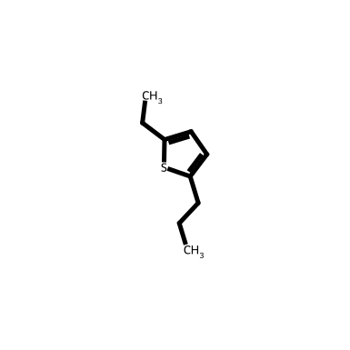 CCCc1ccc(CC)s1